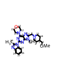 COCC1CCN(Cc2nc3c(N4CCOCC4)nc(-n4c(C)nc5ccccc54)nc3n2C)CC1